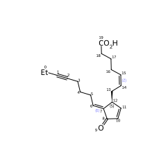 CCC#CCCC/C=C1/C(=O)C=C[C@@H]1C/C=C\CCCC(=O)O